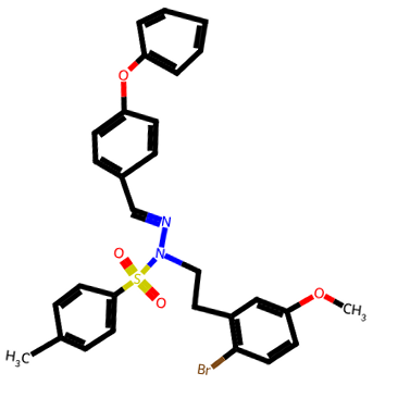 COc1ccc(Br)c(CCN(/N=C/c2ccc(Oc3ccccc3)cc2)S(=O)(=O)c2ccc(C)cc2)c1